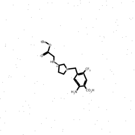 CC(C)(C)OC(=O)CN[C@@H]1CCN(Cc2cc(N)c(C(=O)O)cc2C(F)(F)F)C1